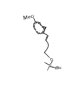 COc1ccc(/C=C/CCO[Si](C)(C)C(C)(C)C)cc1